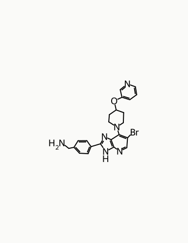 NCc1ccc(-c2nc3c(N4CCC(Oc5cccnc5)CC4)c(Br)cnc3[nH]2)cc1